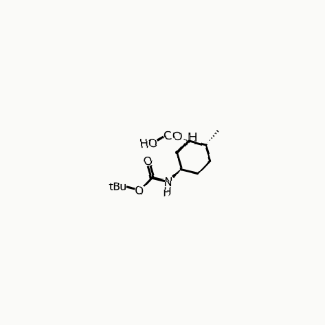 CC(C)(C)OC(=O)N[C@H]1CC[C@H](C)CC1.O=C(O)O